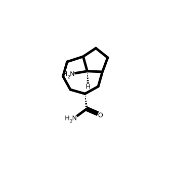 NC(=O)[C@@H]1CCCC2CCC(C1)[C@H]2N